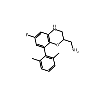 Cc1cccc(C)c1-c1cc(F)cc2c1OC(CN)CN2